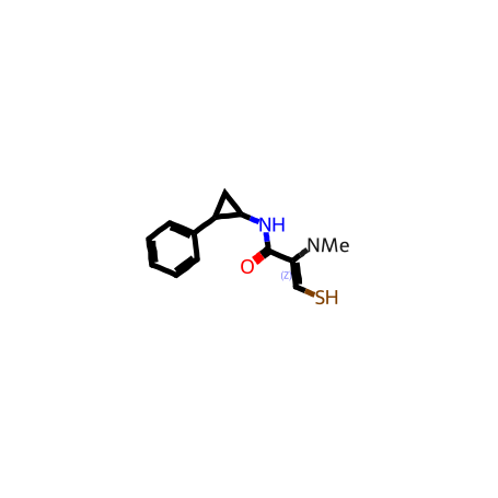 CN/C(=C\S)C(=O)NC1CC1c1ccccc1